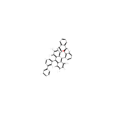 [2H]c1c([2H])c([2H])c2c(-c3cccc4oc5c6ccccc6ccc5c34)c3c([2H])c([2H])c([2H])c([2H])c3c(-c3cccc(-c4ccccc4)c3)c2c1[2H]